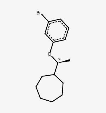 C[C@H](Oc1cccc(Br)c1)C1CCCCCC1